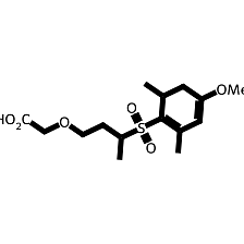 COC1=CC(C)=C(S(=O)(=O)C(C)CCOCC(=O)O)C(C)C1